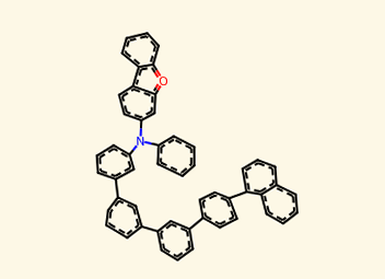 c1ccc(N(c2cccc(-c3cccc(-c4cccc(-c5ccc(-c6cccc7ccccc67)cc5)c4)c3)c2)c2ccc3c(c2)oc2ccccc23)cc1